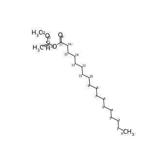 CCCCCCCCCCCCCCCCCC(=O)O[SiH](C)OC